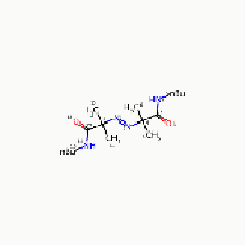 CCCCNC(=O)C(C)(C)/N=N/C(C)(C)C(=O)NCCCC